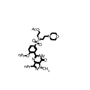 CCCOc1ccc(S(=O)(=O)N(CCOC(C)=O)CCN2CCOCC2)cc1-c1nc2c(CCC)nn(C)c2c(=O)[nH]1